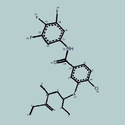 C=C(CC)C(C)CC(CC)Sc1cc(C(=O)Nc2cc(F)c(F)c(F)c2)ccc1Cl